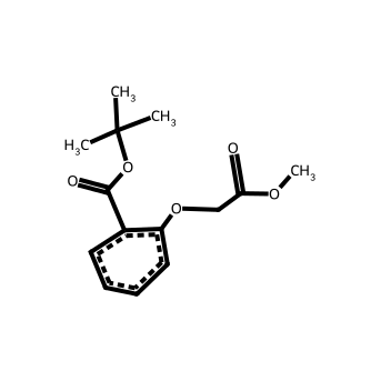 COC(=O)COc1ccccc1C(=O)OC(C)(C)C